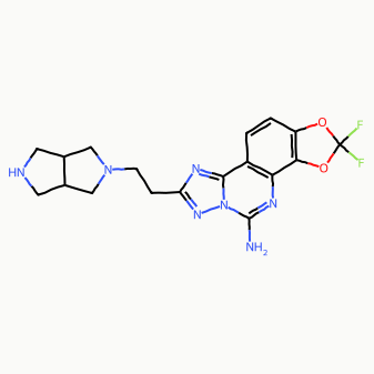 Nc1nc2c3c(ccc2c2nc(CCN4CC5CNCC5C4)nn12)OC(F)(F)O3